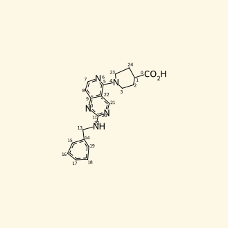 O=C(O)C1CCN(c2nccc3nc(NCc4ccccc4)ncc23)CC1